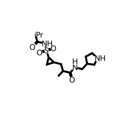 CC(C)C(=O)NS(=O)(=O)C1CC1CC(C)C(=O)NCC1CCNC1